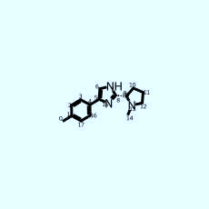 Cc1ccc(-c2c[nH]c([C@@H]3CCCN3C)n2)cc1